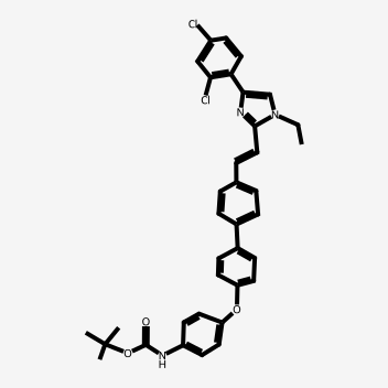 CCn1cc(-c2ccc(Cl)cc2Cl)nc1C=Cc1ccc(-c2ccc(Oc3ccc(NC(=O)OC(C)(C)C)cc3)cc2)cc1